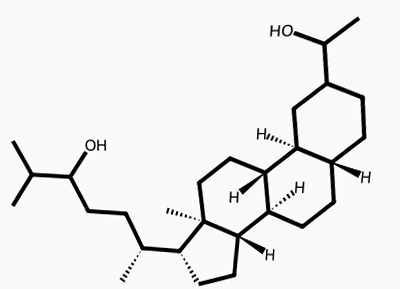 CC(C)C(O)CC[C@@H](C)[C@H]1CC[C@H]2[C@@H]3CC[C@H]4CCC(C(C)O)C[C@@H]4[C@H]3CC[C@]12C